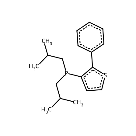 CC(C)CP(CC(C)C)c1ccsc1-c1ccccc1